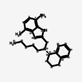 Bc1ccc(B)c2[nH]c(CN(CCCCN)[C@H]3CCCc4cccnc43)nc12